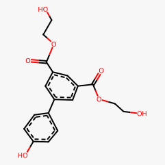 O=C(OCCO)c1cc(C(=O)OCCO)cc(-c2ccc(O)cc2)c1